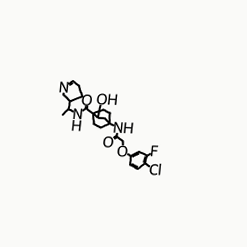 CC(NC(=O)C12CCC(NC(=O)COc3ccc(Cl)c(F)c3)(CC1)CC2O)C1CCC=NC1